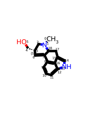 CN1C[C@@H](CO)C=C2c3cccc4[nH]cc(c34)CC21